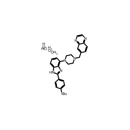 CC(C)(C)c1ccc(-c2nc3c(N4CCN(Cc5ccc6nccnc6c5)CC4)cccc3[nH]2)cc1.Cl.Cl.O.O